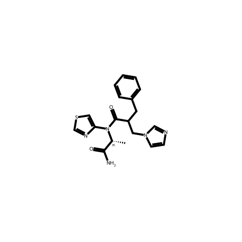 C[C@H](C(N)=O)N(C(=O)C(Cc1ccccc1)Cn1ccnc1)c1cscn1